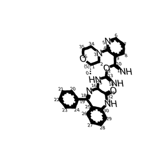 C[C@H]1CN(c2ncccc2C(=N)OC(=N)NC2N=C(c3ccccc3)c3ccccc3NC2=O)CCO1